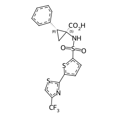 O=C(O)[C@]1(NS(=O)(=O)c2ccc(-c3nc(C(F)(F)F)cs3)s2)C[C@@H]1c1ccccc1